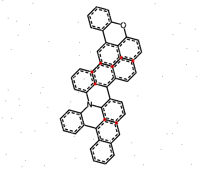 c1cc(-c2cc3c4c(cccc4c2)Oc2ccccc2-3)cc(N(c2ccccc2-c2cccc3ccccc23)c2ccccc2-c2cccc3ccccc23)c1